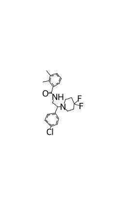 Cc1cccc(C(=O)NCC(c2ccc(Cl)cc2)N2CCC(F)(F)CC2)c1C